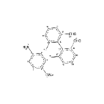 COc1ccc(N)cc1.Cc1cccc(C=O)c1-c1c(C)cccc1C=O